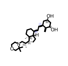 C=C1/C(=C\C=C2/CCC[C@]3(C)[C@@H]([C@H](C)CN4CCOCC4(C)C)CC[C@@H]23)C[C@@H](O)C[C@H]1O